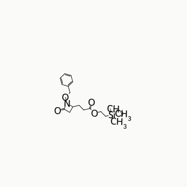 C[Si](C)(C)CCOC(=O)CCC1CC(=O)N1OCc1ccccc1